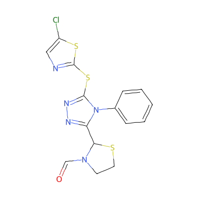 O=CN1CCSC1c1nnc(Sc2ncc(Cl)s2)n1-c1ccccc1